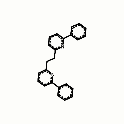 c1ccc(-c2cccc(CCc3cccc(-c4ccccc4)n3)n2)cc1